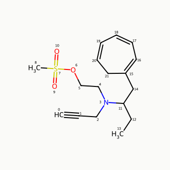 C#CCN(CCOS(C)(=O)=O)C(CC)CC1=CC=CC=CC1